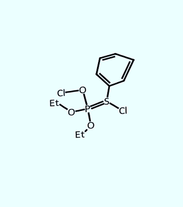 CCOP(OCl)(OCC)=S(Cl)c1ccccc1